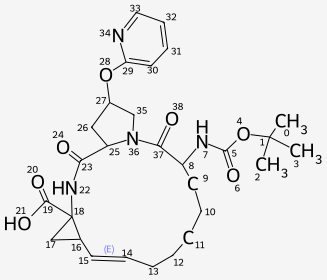 CC(C)(C)OC(=O)NC1CCCCC/C=C/C2CC2(C(=O)O)NC(=O)C2CC(Oc3ccccn3)CN2C1=O